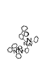 O=P1(c2ccccc2)N(c2ccccc2)c2ccccc2N1c1cccc(-c2nc(-c3ccccc3)nc(-c3cccc4c3oc3ccccc34)n2)c1